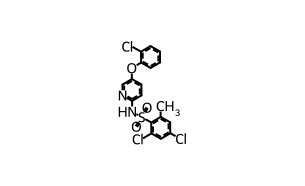 Cc1cc(Cl)cc(Cl)c1S(=O)(=O)Nc1ccc(Oc2ccccc2Cl)cn1